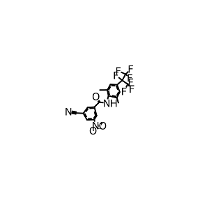 Cc1cc(C(F)(C(F)(F)F)C(F)(F)F)cc(C)c1NC(=O)c1cc(C#N)cc([N+](=O)[O-])c1